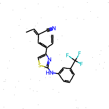 C=C/C(=C\C(C#N)=C/C)c1csc(Nc2cccc(C(F)(F)F)c2)n1